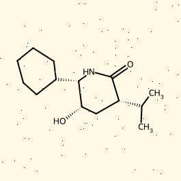 CC(C)[C@@H]1C[C@H](O)[C@H](C2CCCCC2)NC1=O